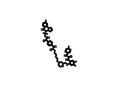 Cc1ccc2c(c1)C1C=CCC1C(C(C)(C)CNC(=O)c1ccc(NC(=O)CCCCCCN3CCOC(COc4cc(C)c(C)cc4NC(=O)Nc4cnc(C)cn4)C3)cc1)N2